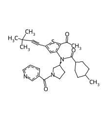 CC(=O)c1sc(C#CC(C)(C)C)cc1N(C(=O)C1CCC(C)CC1)[C@H]1CCN(C(=O)c2cccnc2)C1